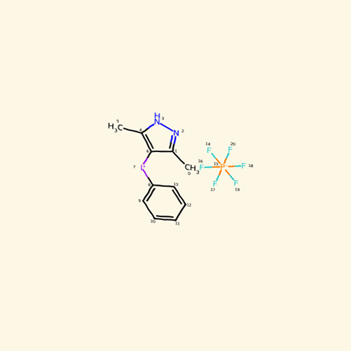 Cc1n[nH]c(C)c1[I+]c1ccccc1.F[P-](F)(F)(F)(F)F